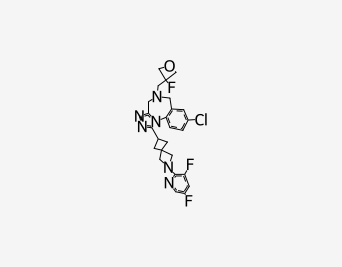 Fc1cnc(N2CC3(CC(c4nnc5n4-c4ccc(Cl)cc4CN(CC4(F)COC4)C5)C3)C2)c(F)c1